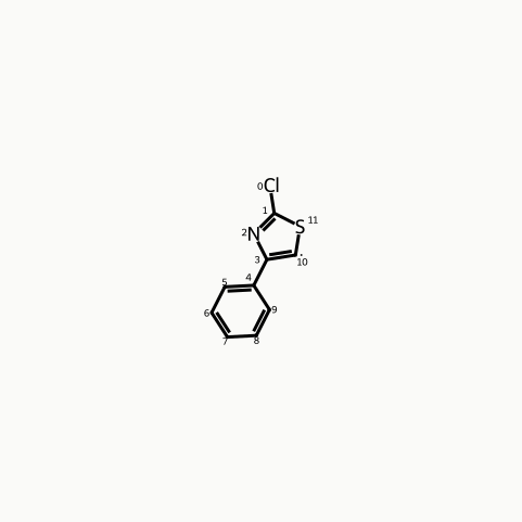 Clc1nc(-c2ccccc2)[c]s1